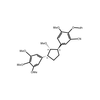 CCCOc1c(C#N)cc([C@H]2CC[C@H](c3cc(OC)c(OC)c(OC)c3)[C@@H]2OC)cc1OC